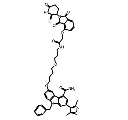 Cc1noc(C)c1-c1cc(C(N)=O)c2c3cc(OCCCCOCCCNC(=O)COc4cccc5c4C(=O)N(C4CCC(=O)NC4=O)C5=O)ccc3n(Cc3ccccc3)c2c1